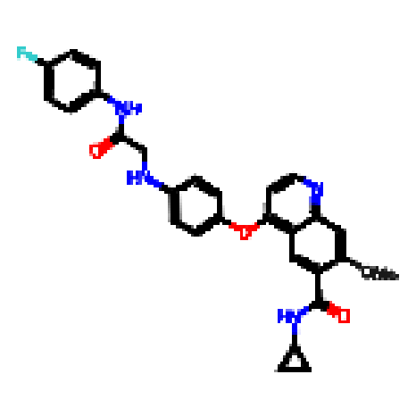 COc1cc2nccc(Oc3ccc(NCC(=O)Nc4ccc(F)cc4)cc3)c2cc1C(=O)NC1CC1